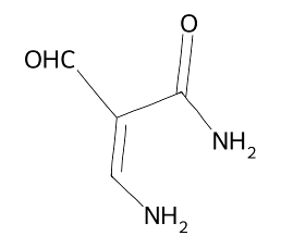 NC=C(C=O)C(N)=O